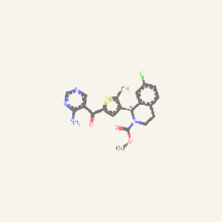 Cc1sc(C(=O)c2cncnc2N)cc1[C@H]1c2cc(Cl)ccc2CCN1C(=O)OC(C)(C)C